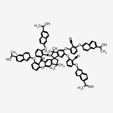 CC(O)c1ccc2cc(Oc3cccc(Oc4cc5c(cc4Oc4cccc(Oc6ccc7cc(C(C)O)ccc7c6)c4C#N)C4(CC5(C)C)CC(C)(C)c5cc(Oc6cccc(Oc7ccc8cc(C(C)O)ccc8c7)c6C#N)c(Oc6cccc(Oc7ccc8cc(C(C)O)ccc8c7)c6C#N)cc54)c3C#N)ccc2c1